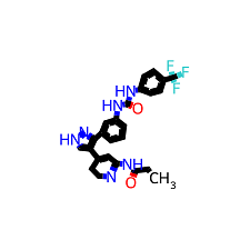 CCC(=O)NC1=NCCC(c2c[nH]nc2-c2cccc(NC(=O)Nc3ccc(C(F)(F)F)cc3)c2)=C1